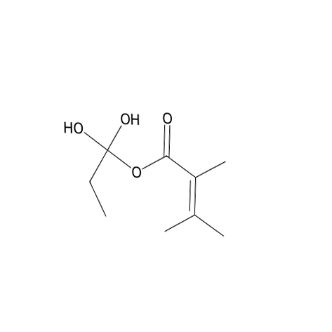 CCC(O)(O)OC(=O)C(C)=C(C)C